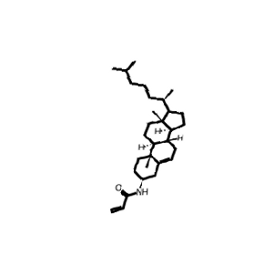 C=CC(=O)N[C@H]1CC[C@@]2(C)C(=CC[C@@H]3[C@@H]2CC[C@]2(C)C([C@H](C)CCCC(C)C)CC[C@@H]32)C1